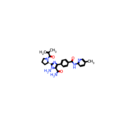 C=C(C)C(=O)N1CCC[C@H]1c1nc(-c2ccc(C(=O)Nc3ccc(C)cn3)cc2)c(C(N)=O)n1N